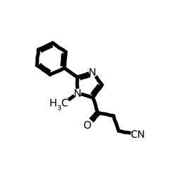 Cn1c(C(=O)CCC#N)cnc1-c1ccccc1